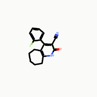 N#Cc1c(-c2ccccc2F)c2c([nH]c1=O)CCCCC2